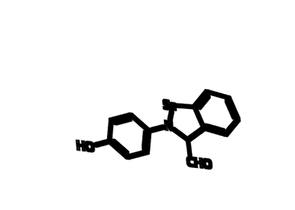 O=CC1c2ccccc2[Se]N1c1ccc(O)cc1